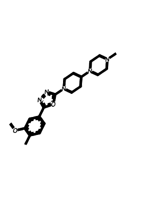 COc1cc(-c2nnc(N3CCC(N4CCN(C)CC4)CC3)o2)ccc1C